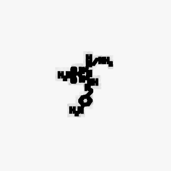 NCCNc1nc(NN=Cc2ccc(N)cc2)nc(S(N)(=O)=O)n1